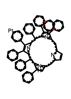 C1=Cc2cc3c(-c4ccccc4)c(-c4ccccc4)c(c(-c4ccccc4)c4nc(c(-c5ccccc5)c5[nH]c(cc1n2)cc5-c1ccccc1)C(c1ccccc1)=C4c1ccccc1)n3-c1ccccc1.[Pt]